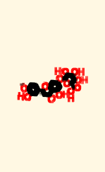 COc1ccc([C@@H]2CC(=O)c3c(O)cc(O[C@@H]4O[C@H](C(=O)O)[C@@H](O)[C@H](O)[C@H]4O)cc3O2)cc1O